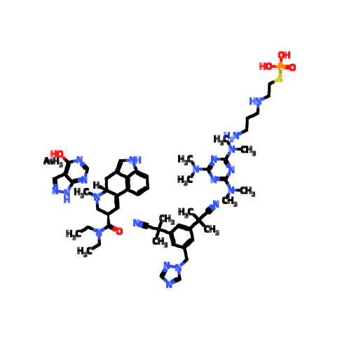 CC(C)(C#N)c1cc(Cn2cncn2)cc(C(C)(C)C#N)c1.CCN(CC)C(=O)[C@@H]1C=C2c3cccc4[nH]cc(c34)C[C@H]2N(C)C1.CN(C)c1nc(N(C)C)nc(N(C)C)n1.NCCCNCCSP(=O)(O)O.Oc1ncnc2[nH]ncc12.[AsH3]